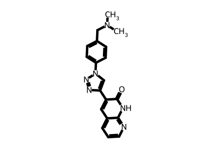 CN(C)Cc1ccc(-n2cc(-c3cc4cccnc4[nH]c3=O)nn2)cc1